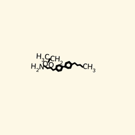 C=C(C)C(=O)OC(CCN)Cc1ccc(-c2ccc(CCCCC)cc2)cc1